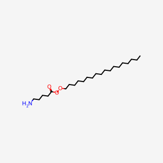 CCCCCCCCCCCCCCCCCCOOC(=O)CCCCN